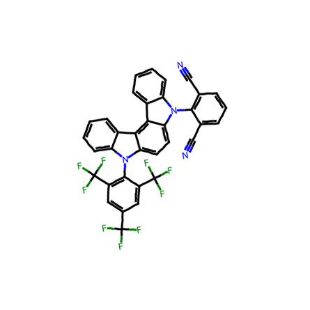 N#Cc1cccc(C#N)c1-n1c2ccccc2c2c3c4ccccc4n(-c4c(C(F)(F)F)cc(C(F)(F)F)cc4C(F)(F)F)c3ccc21